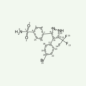 NS(=O)(=O)c1ccc(-c2n[nH]c(C(F)(F)F)c2-c2ccc(Br)cc2)cc1